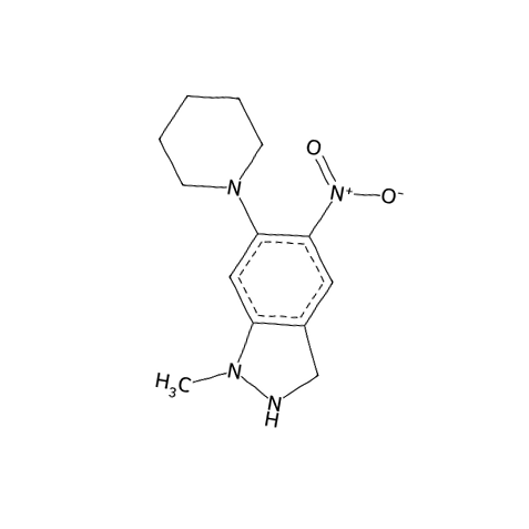 CN1NCc2cc([N+](=O)[O-])c(N3CCCCC3)cc21